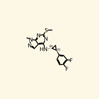 CSc1nc(N[C@@H]2C[C@H]2c2ccc(F)c(F)c2)c2cnn(C)c2n1